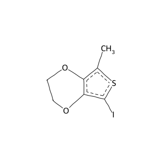 Cc1sc(I)c2c1OCCO2